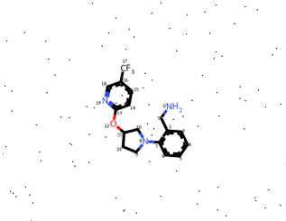 NCc1ccccc1N1CCC(Oc2ccc(C(F)(F)F)cn2)C1